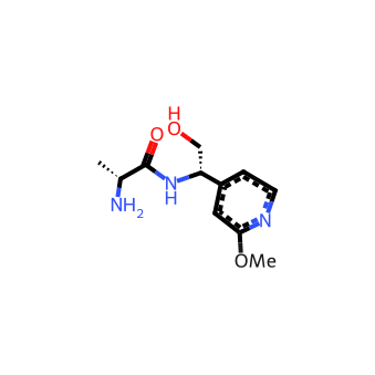 COc1cc([C@@H](CO)NC(=O)[C@@H](C)N)ccn1